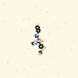 O=C(N[C@H](CN1CCC1)[C@H](O)c1ccc(OC2COC2)c(Cl)c1)[C@@H]1CCN(c2ccc3cc(F)ccc3c2)C1